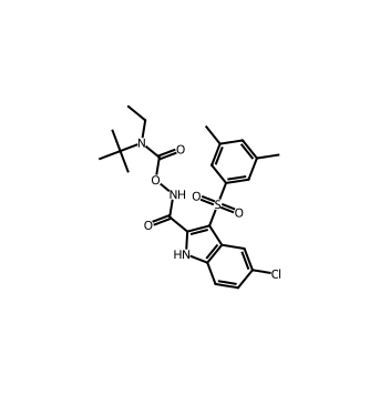 CCN(C(=O)ONC(=O)c1[nH]c2ccc(Cl)cc2c1S(=O)(=O)c1cc(C)cc(C)c1)C(C)(C)C